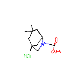 CC1(C)CC2CC(C)(CN2C(=O)O)C1.Cl